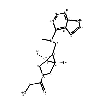 CN(CC1[C@H]2CN(C(=O)CO)C[C@@H]12)c1ncnc2[nH]ccc12